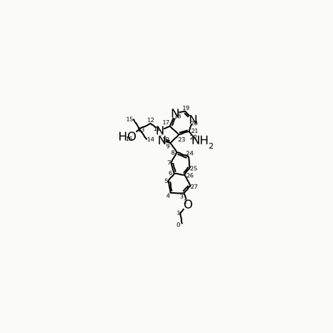 CCOc1ccc2cc(-c3nn(CC(C)(C)O)c4ncnc(N)c34)ccc2c1